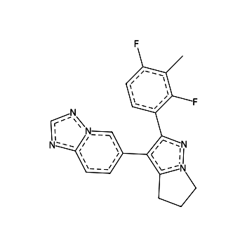 Cc1c(F)ccc(-c2nn3c(c2-c2ccc4ncnn4c2)CCC3)c1F